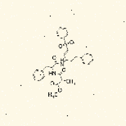 COC(=O)C(C)C(=O)NC(Cc1ccccc1)C(=O)NC(C=CS(=O)(=O)c1ccccc1)CCc1ccccc1